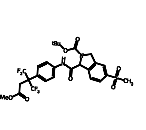 COC(=O)CC(c1ccc(NC(=O)C2c3ccc(S(C)(=O)=O)cc3CN2C(=O)OC(C)(C)C)cc1)(C(F)(F)F)C(F)(F)F